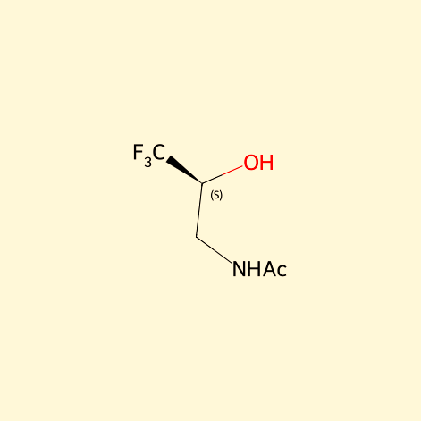 CC(=O)NC[C@H](O)C(F)(F)F